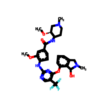 COc1cc(C(=O)NC2CCN(C)C[C@H]2OC)ccc1Nc1ncc(C(F)(F)F)c(Oc2cccc3c2C(O)N(C)C3)n1